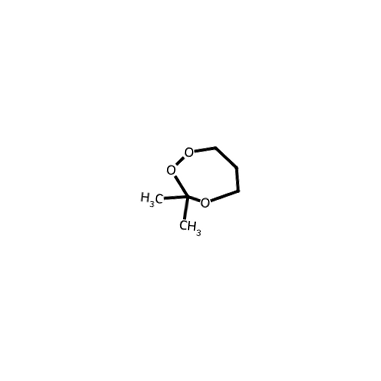 CC1(C)OCCCOO1